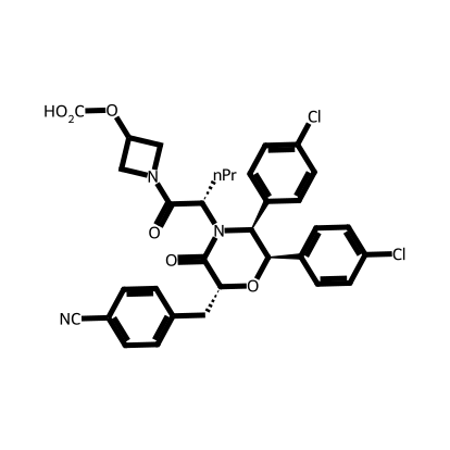 CCC[C@@H](C(=O)N1CC(OC(=O)O)C1)N1C(=O)[C@@H](Cc2ccc(C#N)cc2)O[C@H](c2ccc(Cl)cc2)[C@@H]1c1ccc(Cl)cc1